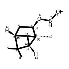 CC1(C)[C@@H]2C[C@@H](OBO)[C@]3(C)C2[C@@H]13